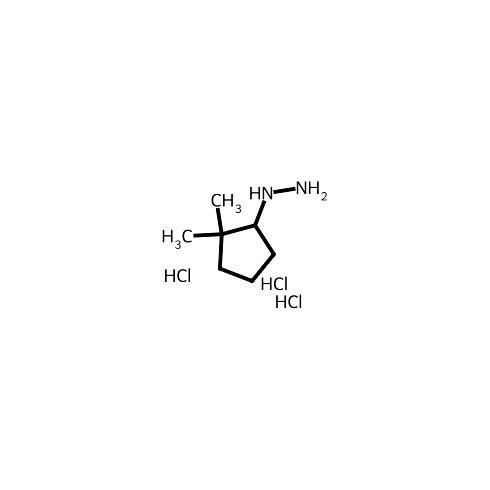 CC1(C)CCCC1NN.Cl.Cl.Cl